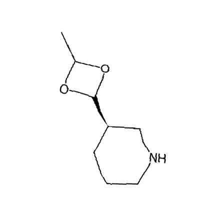 CC1OC([C@@H]2CCCNC2)O1